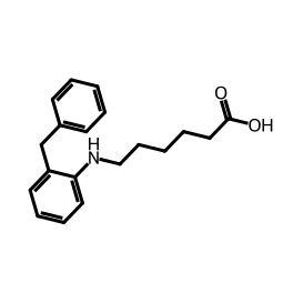 O=C(O)CCCCCNc1ccccc1Cc1ccccc1